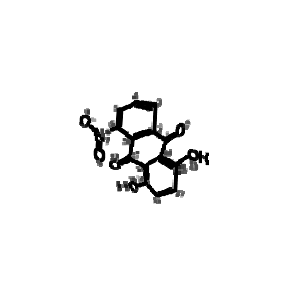 O=C1c2cccc([N+](=O)[O-])c2C(=O)c2c(O)ccc(O)c21